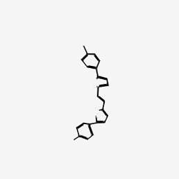 Cc1ccc(-c2ccc(/C=C/c3ccc(-c4ccc(C)cc4)s3)s2)cc1